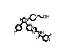 O=C(Nc1cn2nc(-c3c(-c4ccc(F)cc4)ncn3C3CCN(CCO)CC3)ccc2n1)c1ccnc(F)c1